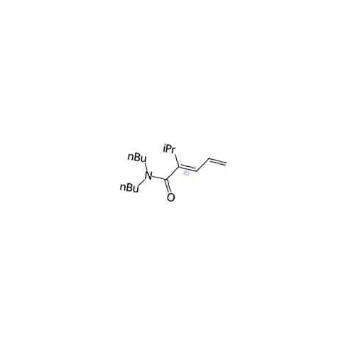 C=C/C=C(/C(=O)N(CCCC)CCCC)C(C)C